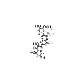 COc1cc([C@H]2Oc3cc([C@H]4Oc5cc(O)cc(O)c5C(=O)[C@@H]4O)cc(O)c3O[C@@H]2CO)ccc1O